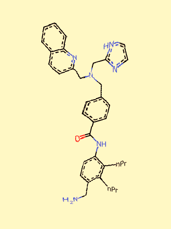 CCCc1c(CN)ccc(NC(=O)c2ccc(CN(Cc3ccc4ccccc4n3)Cc3ncc[nH]3)cc2)c1CCC